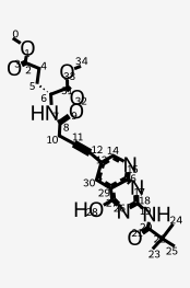 COC(=O)CC[C@@H](NC(=O)CC#Cc1cnc2nc(NC(=O)C(C)(C)C)nc(O)c2c1)C(=O)OC